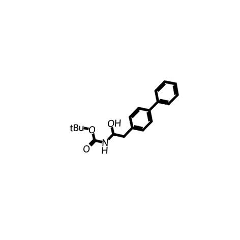 CC(C)(C)OC(=O)NC(O)Cc1ccc(-c2ccccc2)cc1